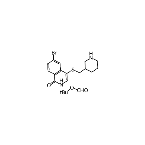 CC(C)(C)OC=O.O=c1[nH]cc(SCC2CCCNC2)c2cc(Br)ccc12